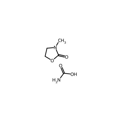 CN1CCOC1=O.NC(=O)O